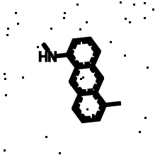 CNc1cccc2cc3c(C)cccc3cc12